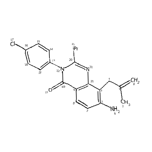 C=C(C)Cc1c(N)ccc2c(=O)n(-c3ccc(Cl)cc3)c(C(C)C)nc12